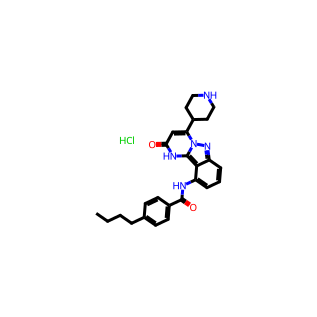 CCCCc1ccc(C(=O)Nc2cccc3nn4c(C5CCNCC5)cc(=O)[nH]c4c23)cc1.Cl